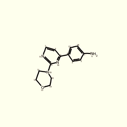 Nc1ccc(-c2ccnc(N3CCOCC3)n2)cc1